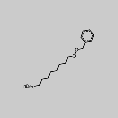 CCCCCCCCCCCCCCCCCCOOCc1ccccc1